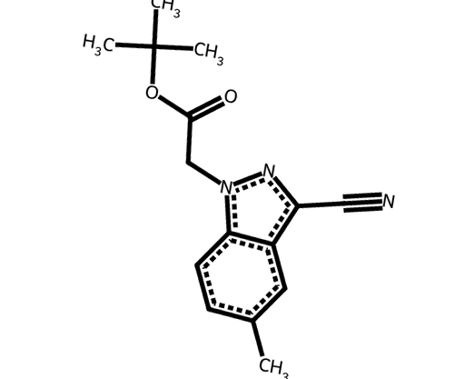 Cc1ccc2c(c1)c(C#N)nn2CC(=O)OC(C)(C)C